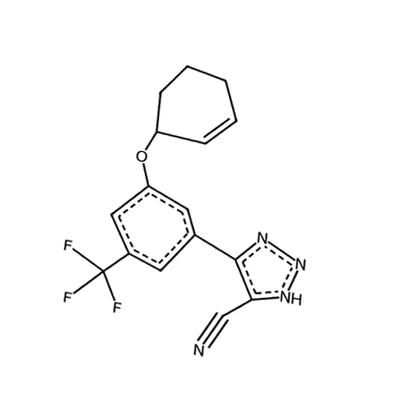 N#Cc1[nH]nnc1-c1cc(OC2C=CCCC2)cc(C(F)(F)F)c1